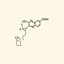 COc1ccc2nc(C3C(CCC[C@@H]4CCCC4C)C3(F)F)c(O)nc2c1